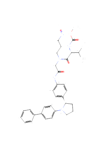 COC(=O)N[C@H](C(=O)N(CCCN=O)CC(=O)Nc1ccc([C@H]2CCCN2c2ccc(-c3ccccc3)cc2)cc1)C(C)C